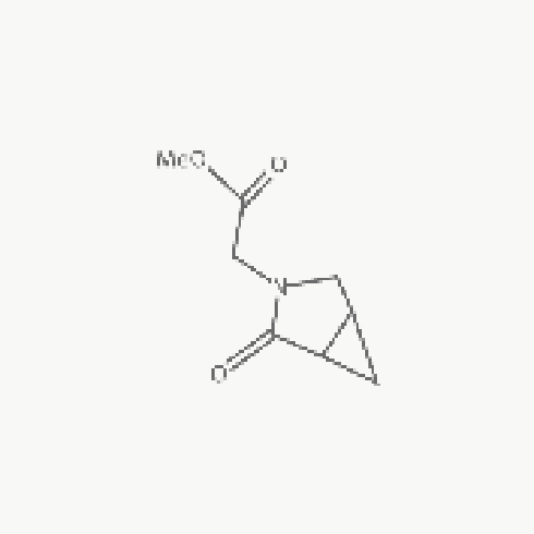 COC(=O)CN1CC2CC2C1=O